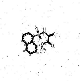 C=C(NS(=O)(=O)c1cccc2ccccc12)C(=O)OCCC